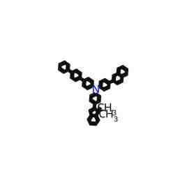 CC1(C)C(c2ccc(N(c3ccc(-c4ccc(-c5ccccc5)cc4)cc3)c3ccc(-c4ccc5ccccc5c4)cc3)cc2)=Cc2ccccc21